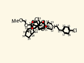 COCOc1ccc(S(=O)(=O)N2CCN(CCc3ccc(Cl)cc3)CC2)cc1N1C2CCC1CN(C(=O)c1ccc(F)cc1Cl)C2